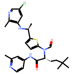 Cc1cc(NC(=O)[C@@H](CCC(C)(C)C)N(C=O)c2ccc([C@H](C)Nc3cc(Cl)cnc3C)s2)ccn1